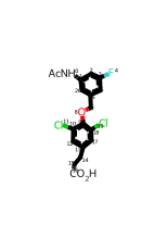 CC(=O)Nc1cc(F)cc(COc2c(Cl)cc(CCC(=O)O)cc2Cl)c1